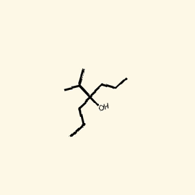 CCCC(O)(CCC)C(C)C